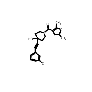 CC1=C(C(=O)N2CCC(O)(C#Cc3cccc(Cl)c3)CC2)CC(C)O1